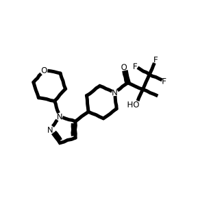 CC(O)(C(=O)N1CCC(c2ccnn2C2CCOCC2)CC1)C(F)(F)F